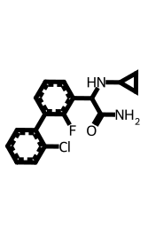 NC(=O)C(NC1CC1)c1cccc(-c2ccccc2Cl)c1F